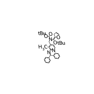 Cc1c(CN(C(=O)OC(C)(C)C)C(OC(C)(C)C)=C2CC=CO2)ccnc1N=C(c1ccccc1)c1ccccc1